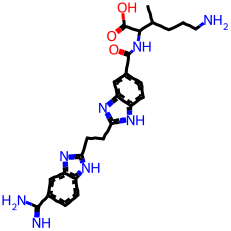 CC(CCCN)C(NC(=O)c1ccc2[nH]c(CCc3nc4cc(C(=N)N)ccc4[nH]3)nc2c1)C(=O)O